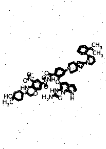 CC(C)c1ccccc1[C@H]1CCCN1C1CC2(CCN(c3ccc(C(=O)NS(=O)(=O)c4cc5c(c([N+](=O)[O-])c4)N[C@@H](C4CCC(C)(O)CC4)CO5)c(Oc4cc5cc[nH]c5nc4NC(N)=O)c3)CC2)C1